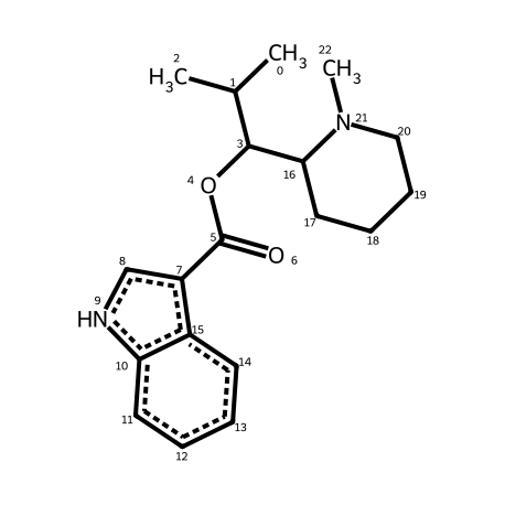 CC(C)C(OC(=O)c1c[nH]c2ccccc12)C1CCCCN1C